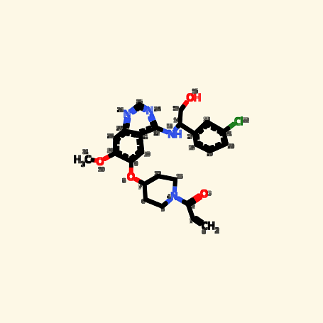 C=CC(=O)N1CCC(Oc2cc3c(NC(CO)c4cccc(Cl)c4)ncnc3cc2OC)CC1